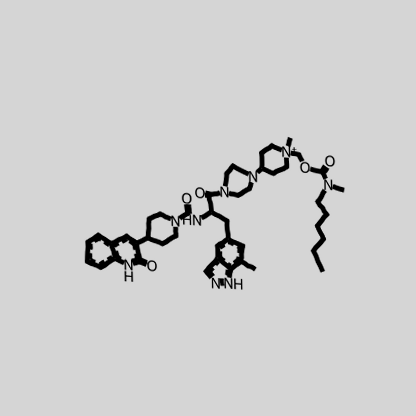 CCCCCCN(C)C(=O)OC[N+]1(C)CCC(N2CCN(C(=O)C(Cc3cc(C)c4[nH]ncc4c3)NC(=O)N3CCC(c4cc5ccccc5[nH]c4=O)CC3)CC2)CC1